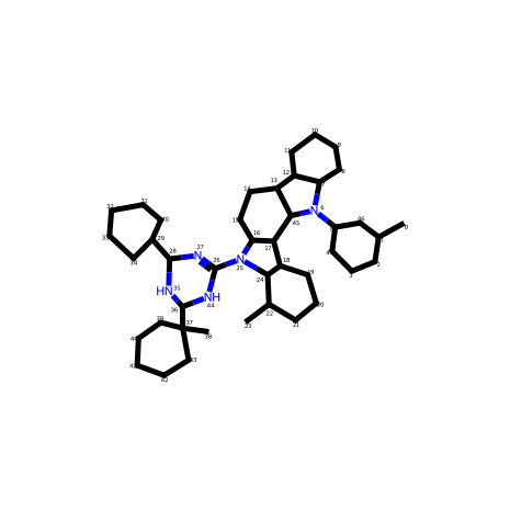 CC1CCCC(N2C3CCCCC3C3CCC4C(C5CCCC(C)C5N4C4=NC(C5CCCCC5)NC(C5(C)CCCCC5)N4)C32)C1